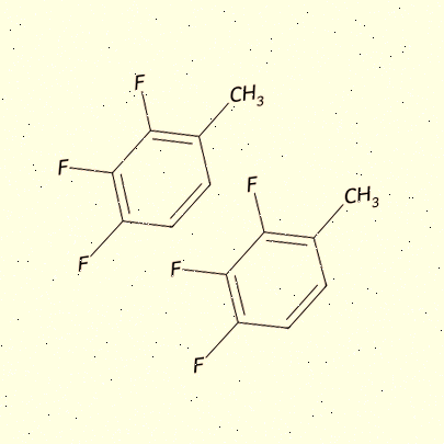 Cc1ccc(F)c(F)c1F.Cc1ccc(F)c(F)c1F